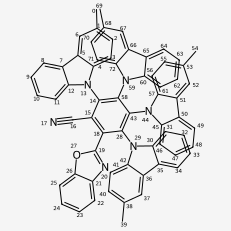 Cc1ccc2c(c1)c1ccccc1n2-c1c(C#N)c(-c2nc3ccccc3o2)c(-n2c3ccccc3c3cc(C)ccc32)c(-n2c3ccccc3c3cc(C)ccc32)c1-n1c2ccccc2c2cc(C)ccc21